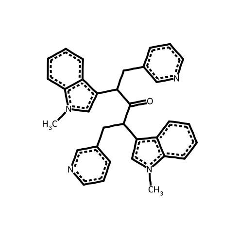 Cn1cc(C(Cc2cccnc2)C(=O)C(Cc2cccnc2)c2cn(C)c3ccccc23)c2ccccc21